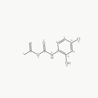 C=C(C)OC(=O)Nc1ccc(Cl)cc1O